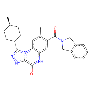 Cc1cc2c(cc1C(=O)N1Cc3ccccc3C1)[nH]c(=O)c1nnc([C@H]3CC[C@H](C)CC3)n12